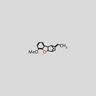 CC=C1CC2CC1C1c3cccc(OC)c3OC21